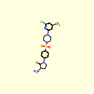 NC1CCN(c2ccc(S(=O)(=O)N3CCN(c4cc(C(F)(F)F)cc(Cl)n4)CC3)cc2)C1=O